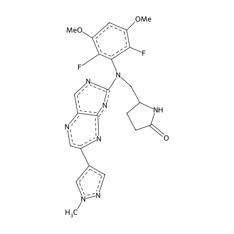 COc1cc(OC)c(F)c(N(CC2CCC(=O)N2)c2ncc3ncc(-c4cnn(C)c4)nc3n2)c1F